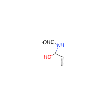 C=CC(O)N[C]=O